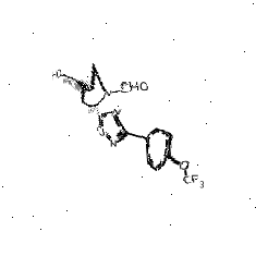 O=CN1C[C@H](O)C[C@H]1c1nc(-c2ccc(OC(F)(F)F)cc2)no1